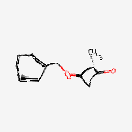 C[C@@H]1C(=O)CC1OCc1ccccc1